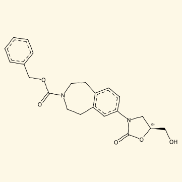 O=C(OCc1ccccc1)N1CCc2ccc(N3C[C@@H](CO)OC3=O)cc2CC1